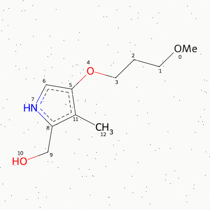 COCCCOc1c[nH]c(CO)c1C